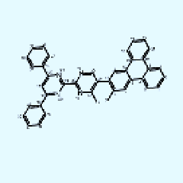 Cc1cc2c3ccccc3c3ccccc3c2cc1-c1cnc(-c2nc(-c3ccccc3)cc(-c3ccccc3)n2)nc1C